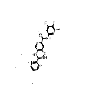 O=C(Nc1cc(F)c(F)c(F)c1)c1ccc2c(c1)SNC(c1ncccn1)N2